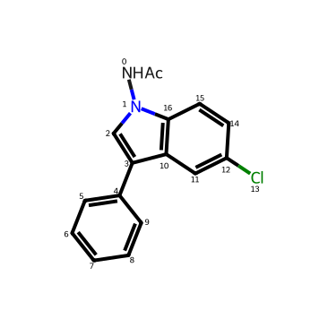 CC(=O)Nn1cc(-c2ccccc2)c2cc(Cl)ccc21